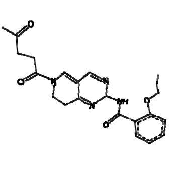 CCOc1ccccc1C(=O)NC1N=CC2=CN(C(=O)CCC(C)=O)CCC2=N1